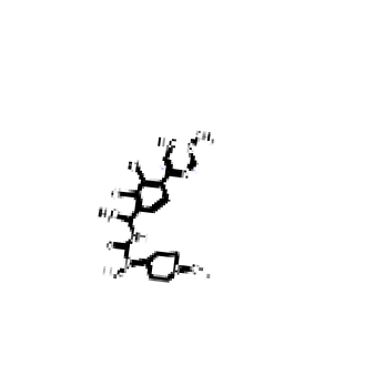 C=N/C=N\C(=C/C)c1ccc(C(C)NC(=O)N(C)C2CCN(C)CC2)c(Cl)c1Cl